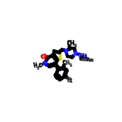 CCc1ccc(-c2cn(C)c(=O)c3cc(CN4CCN(NOC)CC4C)sc23)c(C)c1